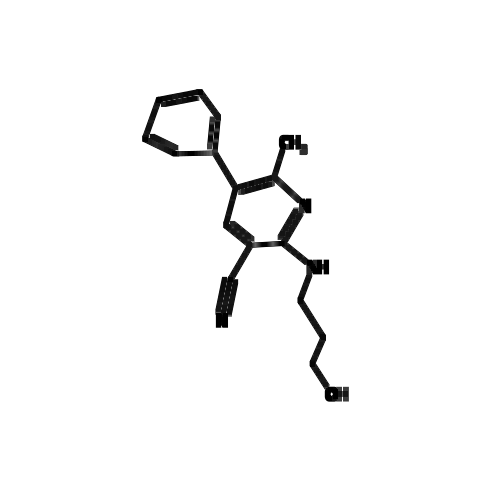 Cc1nc(NCCCO)c(C#N)cc1-c1ccccc1